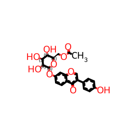 CC(=O)OC[C@H]1O[C@@H](Oc2ccc3c(=O)c(-c4ccc(O)cc4)coc3c2)[C@H](O)[C@@H](O)[C@@H]1O